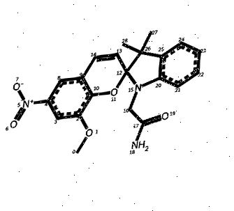 COc1cc([N+](=O)[O-])cc2c1OC1(C=C2)N(CC(N)=O)c2ccccc2C1(C)C